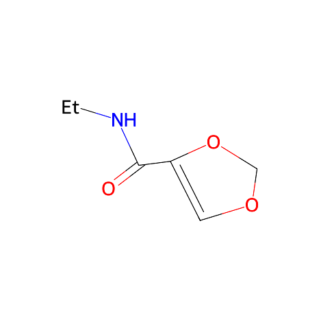 CCNC(=O)C1=COCO1